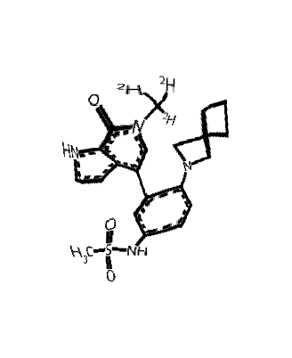 [2H]C([2H])([2H])n1cc(-c2cc(NS(C)(=O)=O)ccc2N2CC3(CCC3)C2)c2cc[nH]c2c1=O